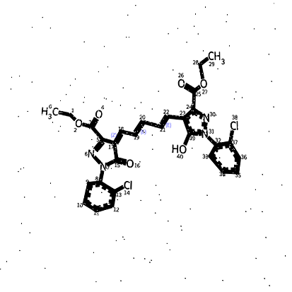 CCOC(=O)C1=NN(c2ccccc2Cl)C(=O)\C1=C/C=C/C=C/c1c(C(=O)OCC)nn(-c2ccccc2Cl)c1O